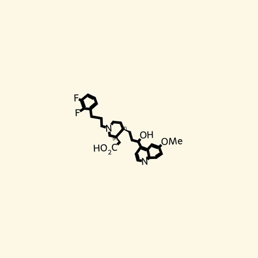 COc1ccc2nccc(C(O)CC[C@@H]3CCN(CCCc4cccc(F)c4F)C[C@@H]3CC(=O)O)c2c1